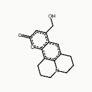 O=c1cc(CO)c2cc3c4c(c2o1)CCCN4CCC3